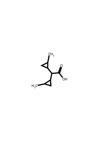 CC1CC1C(C(=O)O)C1CC1C